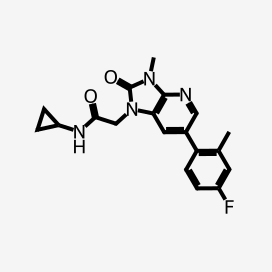 Cc1cc(F)ccc1-c1cnc2c(c1)n(CC(=O)NC1CC1)c(=O)n2C